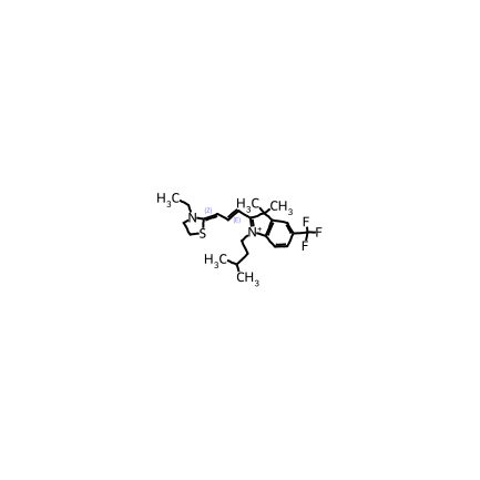 CCN1CCS/C1=C\C=C\C1=[N+](CCC(C)C)c2ccc(C(F)(F)F)cc2C1(C)C